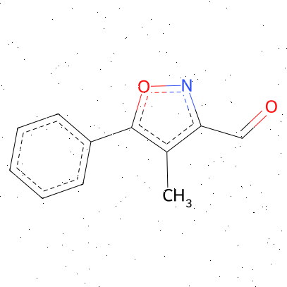 Cc1c(C=O)noc1-c1ccccc1